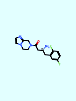 N[C@@H](CC(=O)N1CCn2ccnc2C1)Cc1cc(F)ccc1F